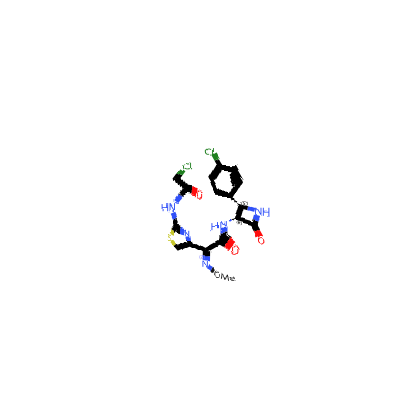 CO/N=C(\C(=O)N[C@H]1C(=O)N[C@H]1c1ccc(Cl)cc1)c1csc(NC(=O)CCl)n1